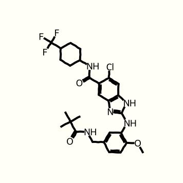 COc1ccc(CNC(=O)C(C)(C)C)cc1Nc1nc2cc(C(=O)NC3CCC(C(F)(F)F)CC3)c(Cl)cc2[nH]1